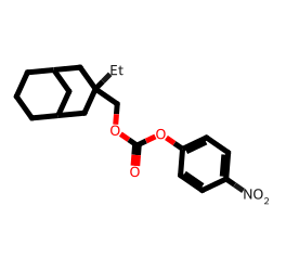 CCC1(COC(=O)Oc2ccc([N+](=O)[O-])cc2)CC2CCCC(C2)C1